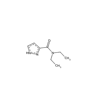 CCN(CC)C(=O)c1cc[nH]n1